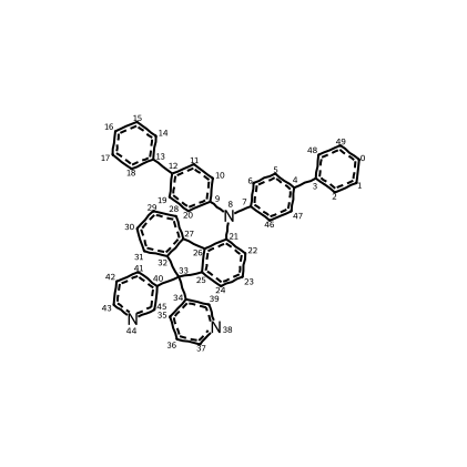 c1ccc(-c2ccc(N(c3ccc(-c4ccccc4)cc3)c3cccc4c3-c3ccccc3C4(c3cccnc3)c3cccnc3)cc2)cc1